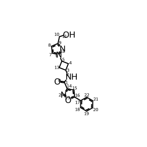 O=C(NC1CC(n2ccc(CO)n2)C1)c1cc(-c2ccccc2)on1